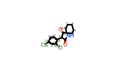 O=C1NC2(CCCCC2)C(=O)C1c1ccc(Cl)cc1Cl